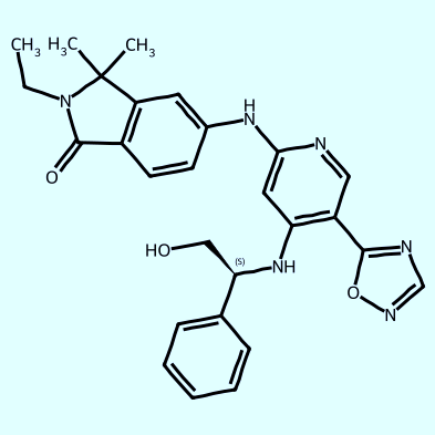 CCN1C(=O)c2ccc(Nc3cc(N[C@H](CO)c4ccccc4)c(-c4ncno4)cn3)cc2C1(C)C